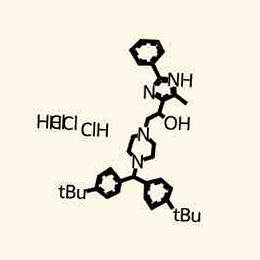 Cc1[nH]c(-c2ccccc2)nc1C(O)CN1CCN(C(c2ccc(C(C)(C)C)cc2)c2ccc(C(C)(C)C)cc2)CC1.Cl.Cl.Cl